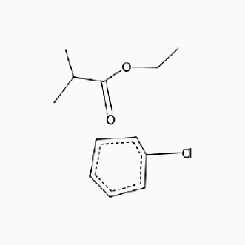 CCOC(=O)C(C)C.Clc1ccccc1